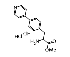 COC(=O)[C@@H](N)Cc1ccc(-c2ccncc2)cc1.Cl.Cl